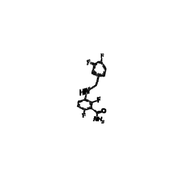 NC(=O)c1c(F)ccc(NCc2ccc(F)c(F)c2)c1F